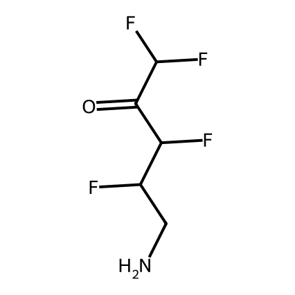 NCC(F)C(F)C(=O)C(F)F